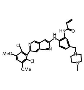 C=CC(=O)Nc1cc(CN2CCN(C)CC2)ccc1Nc1cc2cnc(-c3c(Cl)c(OC)cc(OC)c3Cl)cc2cn1